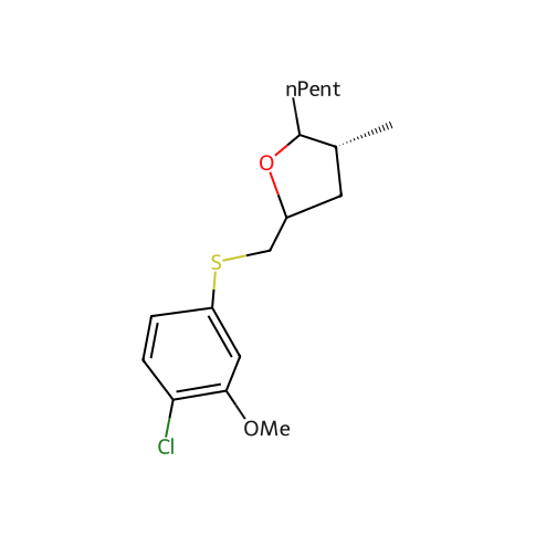 CCCCCC1OC(CSc2ccc(Cl)c(OC)c2)C[C@H]1C